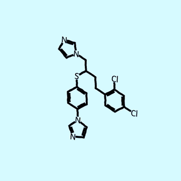 Clc1ccc(CCC(Cn2ccnc2)Sc2ccc(-n3ccnc3)cc2)c(Cl)c1